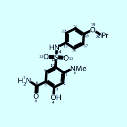 CNc1cc(O)c(C(N)=O)cc1S(=O)(=O)Nc1ccc(OC(C)C)cc1